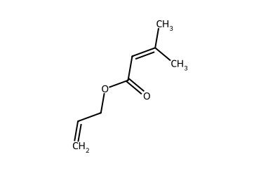 C=CCOC(=O)C=C(C)C